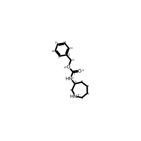 O=C(NC1CCCCNC1)OCc1ccccc1